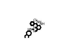 CCC1CC=C(Nc2ncc3c(n2)/C(=C(/NC)c2ccccc2Cl)C(=N)CC3)CCC1C